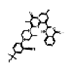 Cc1cc(C(C)Nc2ccccc2C(=O)O)c2nc(N3CCN(c4ccc(C(F)(F)F)cc4C#N)C[C@@H]3C)c(C)c(=O)n2c1